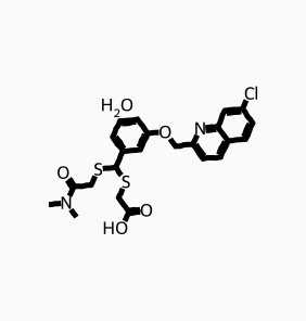 CN(C)C(=O)CSC(SCC(=O)O)c1cccc(OCc2ccc3ccc(Cl)cc3n2)c1.O